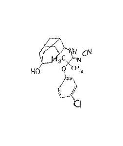 CC(C)(Oc1ccc(Cl)cc1)/C(=N/C#N)NC1C2CC3CC1CC(O)(C3)C2